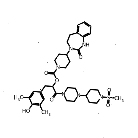 Cc1cc(CC(OC(=O)N2CCC(N3CCc4ccccc4NC3=O)CC2)C(=O)N2CCN(C3CCN(S(C)(=O)=O)CC3)CC2)cc(C)c1O